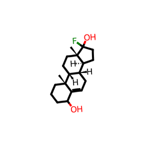 C[C@]12CCCC(O)C1=CC[C@@H]1[C@H]2CC[C@@]2(C)[C@H]1CCC2(O)F